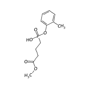 COC(=O)CCCP(=O)(O)Oc1ccccc1C